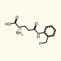 N[C@@H](CCC(=O)Nc1ccccc1CF)C(=O)O